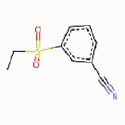 CCS(=O)(=O)c1cccc(C#N)c1